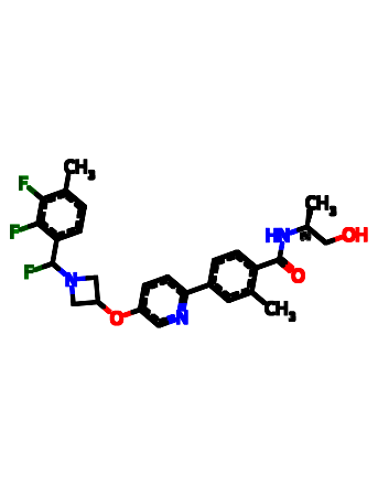 Cc1cc(-c2ccc(OC3CN(C(F)c4ccc(C)c(F)c4F)C3)cn2)ccc1C(=O)N[C@@H](C)CO